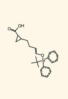 CC(C)(C)[Si](OC=CCCC1CC1C(=O)O)(c1ccccc1)c1ccccc1